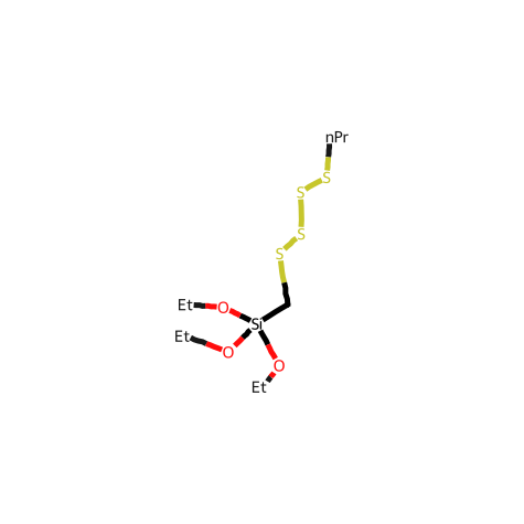 CCCSSSSC[Si](OCC)(OCC)OCC